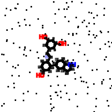 Oc1cc(O)cc(/C=C/c2ccc(O)cc2-c2ccc3[nH]ccc3c2)c1